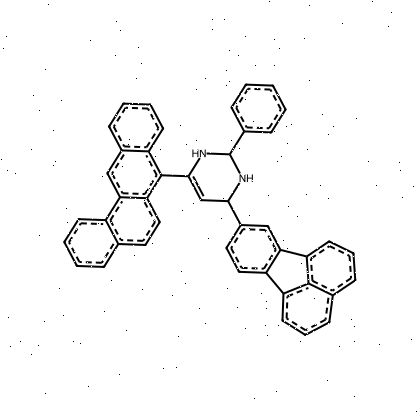 C1=C(c2c3ccccc3cc3c2ccc2ccccc23)NC(c2ccccc2)NC1c1ccc2c(c1)-c1cccc3cccc-2c13